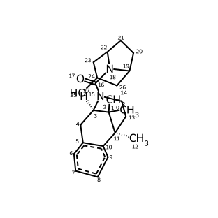 CC1(C)[C@H]2Cc3ccccc3[C@]1(C)CCN2C(=O)N1C2CCC1CC(O)C2